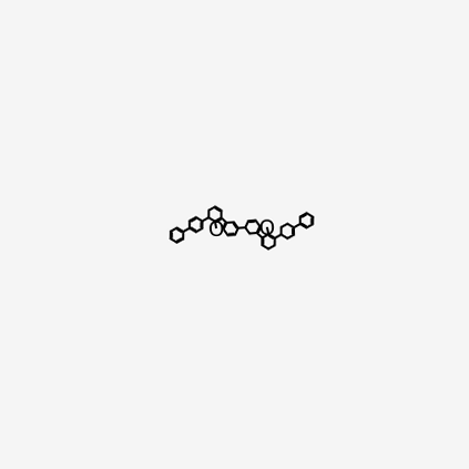 C1=Cc2c(oc3ccc(C4C=Cc5oc6c(c5C4)=CCCC=6C4CC=C(c5ccccc5)CC4)cc23)C(c2ccc(-c3ccccc3)cc2)C1